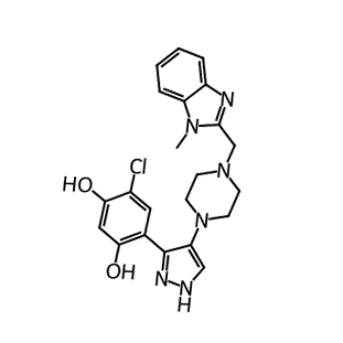 Cn1c(CN2CCN(c3c[nH]nc3-c3cc(Cl)c(O)cc3O)CC2)nc2ccccc21